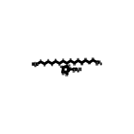 CCCCCCCCCCCCCCCCC.O=C(O)c1ccon1